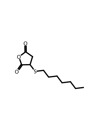 CCCCCCCSC1CC(=O)OC1=O